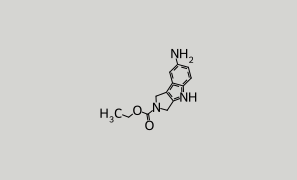 CCOC(=O)N1Cc2[nH]c3ccc(N)cc3c2C1